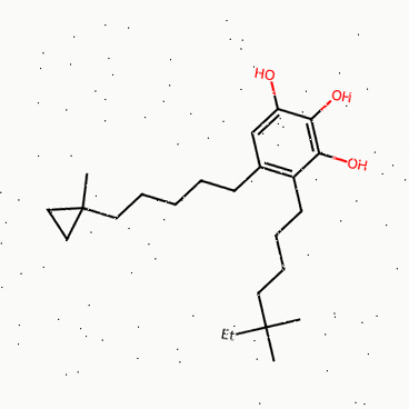 CCC(C)(C)CCCCc1c(CCCCCC2(C)CC2)cc(O)c(O)c1O